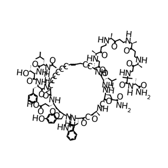 CC(=O)N[C@@H](CC(C)C)C(=O)N[C@H](C(=O)N[C@@H](Cc1ccccc1)C(=O)N[C@]1(C)CCCCCC/C=C/CCC[C@@](C)(C(=O)CN[C@@H](C)C(=O)CCN[C@@H](C)C(=O)CCN[C@@H](C)C(=O)CCN[C@@H](C)C(=O)CNC(C)(C)C(=O)N[C@H](C)C(N)=O)NC(=O)[C@H](CC(C)C)NN[C@@H](CCC(N)=O)C(=O)CN[C@@H](C)C(=O)CC(=O)[C@H](Cc2c[nH]c3ccccc23)NN[C@@H](Cc2ccc(O)cc2)C(=O)C(=O)[C@H](CCC(=O)O)NC1=O)[C@@H](C)O